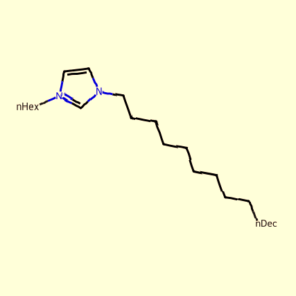 CCCCCCCCCCCCCCCCCCCn1cc[n+](CCCCCC)c1